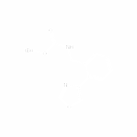 CC(C)(C)OC(=O)NCc1ccccc1-c1cocn1